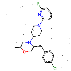 C[C@H]1CN(C2CCN(c3cccc(F)n3)CC2)[C@@H](Cc2ccc(Cl)cc2)CO1